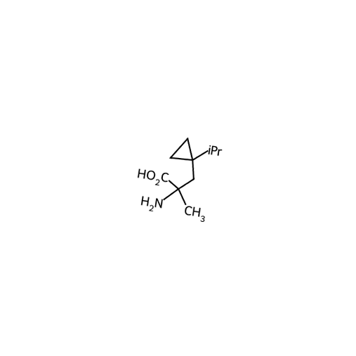 CC(C)C1(CC(C)(N)C(=O)O)CC1